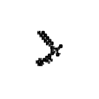 O.O.O.O.O.O.O.O.O.O.O=[N+]([O-])[O-].[Na+]